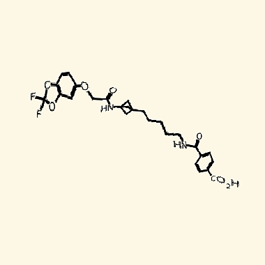 O=C(COc1ccc2c(c1)OC(F)(F)O2)NC12CC(CCCCCNC(=O)c3ccc(C(=O)O)cc3)(C1)C2